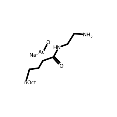 CC(=O)[O-].CCCCCCCCCCCC(=O)NCCN.[Na+]